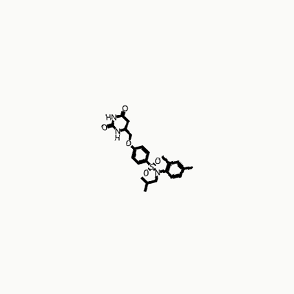 Cc1ccc(N(CC(C)C)S(=O)(=O)c2ccc(OCC3CC(=O)NC(=O)N3)cc2)c(C)c1